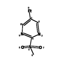 CCc1cnc(S(C)(=O)=O)nc1